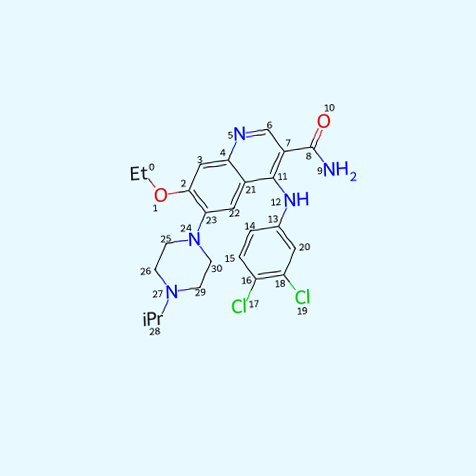 CCOc1cc2ncc(C(N)=O)c(Nc3ccc(Cl)c(Cl)c3)c2cc1N1CCN(C(C)C)CC1